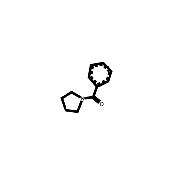 O=C(c1c[c]ccc1)N1CCCC1